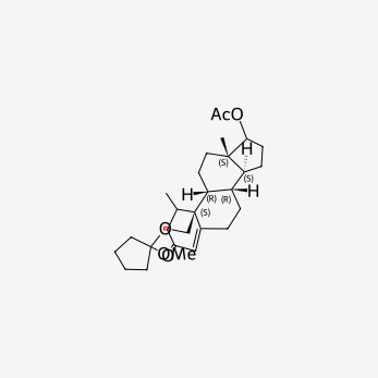 COC1(OC[C@@]23C(=CC(=O)CC2C)CC[C@@H]2[C@H]3CC[C@]3(C)C(OC(C)=O)CC[C@@H]23)CCCC1